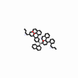 C=C/C=C\c1cccc(-c2ccc(N(C3=c4ccccc4=CCC3)c3ccc(-c4ccccc4/C=C\C=C)c(-c4ccccc4/C=C\C=C)c3)cc2-c2cccc3ccccc23)c1